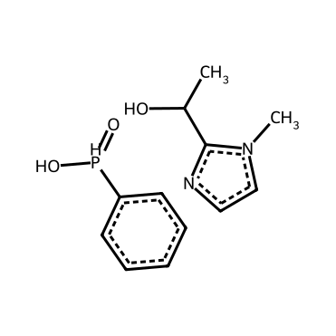 CC(O)c1nccn1C.O=[PH](O)c1ccccc1